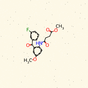 COC(=O)CCC(=O)Nc1ccc(OC)cc1C(=O)c1cccc(F)c1